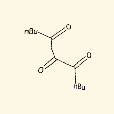 CCCCC(=O)C(=O)C(=O)CCCC